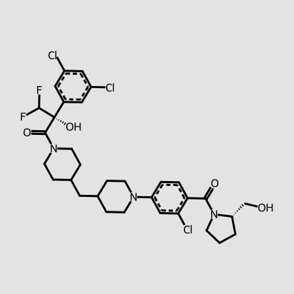 O=C(c1ccc(N2CCC(CC3CCN(C(=O)[C@](O)(c4cc(Cl)cc(Cl)c4)C(F)F)CC3)CC2)cc1Cl)N1CCC[C@H]1CO